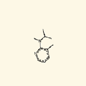 Cc1cccnc1N(C)C(C)C